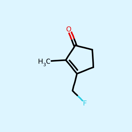 CC1=C(CF)CCC1=O